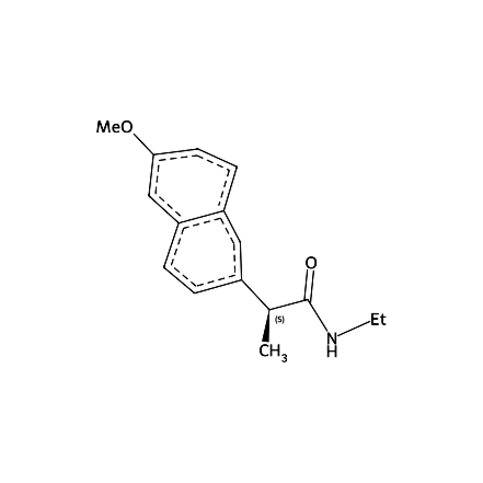 CCNC(=O)[C@@H](C)c1ccc2cc(OC)ccc2c1